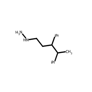 CC(C)C(C)C(CCNN)C(C)C